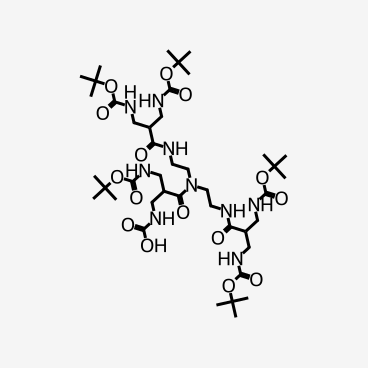 CC(C)(C)OC(=O)NCC(CNC(=O)OC(C)(C)C)C(=O)NCCN(CCNC(=O)C(CNC(=O)OC(C)(C)C)CNC(=O)OC(C)(C)C)C(=O)C(CNC(=O)O)CNC(=O)OC(C)(C)C